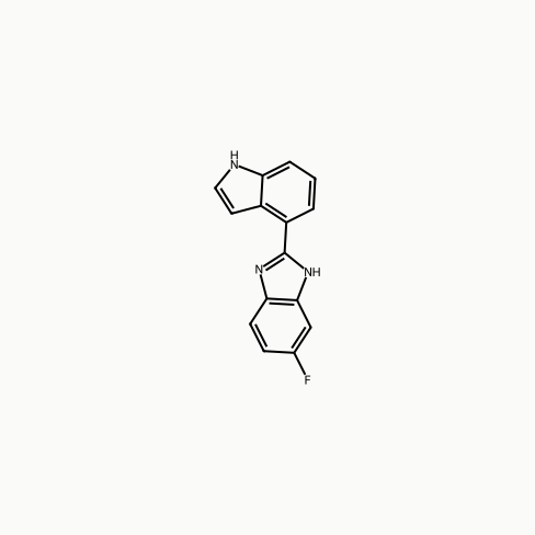 Fc1ccc2nc(-c3cccc4[nH]ccc34)[nH]c2c1